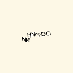 CC(C)(CSc1ccc(Cl)cc1)NCCCn1ccnc1